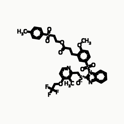 COc1ccc(S(=O)(=O)n2c([S+]([O-])Cc3nccc(OCC(F)(F)F)c3C)nc3ccccc32)cc1CCC(=O)OCCS(=O)(=O)c1ccc(C)cc1